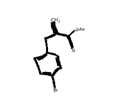 C=C(Cc1ccc(Br)cc1)C(=O)OC